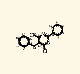 Clc1nc(-c2ccccn2)nc(Cl)c1Cc1ccccc1